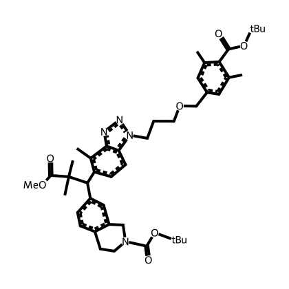 COC(=O)C(C)(C)C(c1ccc2c(c1)CN(C(=O)OC(C)(C)C)CC2)c1ccc2c(nnn2CCCOCc2cc(C)c(C(=O)OC(C)(C)C)c(C)c2)c1C